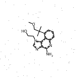 COCC(C)(C)c1cccc2nc(N)c3ncn(CCO)c3c12